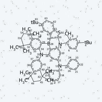 Cc1cc(C(C)(C)C)ccc1N1c2cc(N(c3ccccc3)c3ccccc3)cc3c2B(c2cc4c(cc2N3c2ccc3c(c2)C(C)(C)CCC3(C)C)C(C)(C)CCC4(C)C)c2c1sc1ccc(C(C)(C)C)cc21